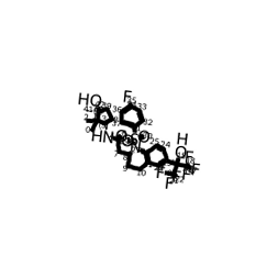 CC1(C)[C@@H](NC(=O)CC2CCc3cc(C(O)(C(F)(F)F)C(F)(F)F)ccc3N2S(=O)(=O)c2ccc(F)cc2)CC[C@]1(C)O